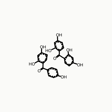 O=C(c1ccc(O)cc1)c1ccc(O)cc1O.O=C(c1ccc(O)cc1O)c1ccc(O)cc1O